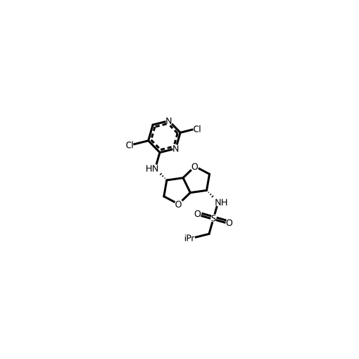 CC(C)CS(=O)(=O)N[C@H]1COC2C1OC[C@@H]2Nc1nc(Cl)ncc1Cl